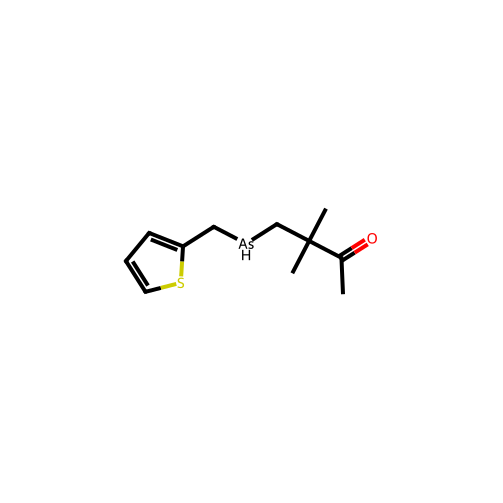 CC(=O)C(C)(C)C[AsH]Cc1cccs1